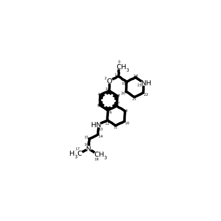 CC(Oc1ccc2c(c1)CCCC2NCCN(C)C)C1CCCNC1